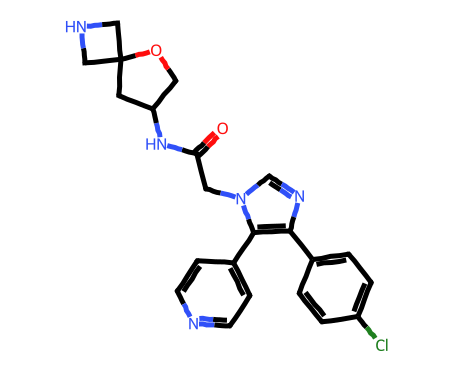 O=C(Cn1cnc(-c2ccc(Cl)cc2)c1-c1ccncc1)NC1COC2(CNC2)C1